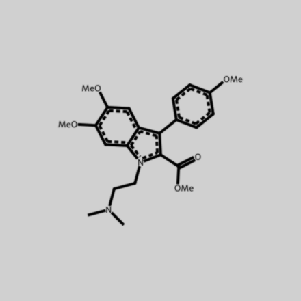 COC(=O)c1c(-c2ccc(OC)cc2)c2cc(OC)c(OC)cc2n1CCN(C)C